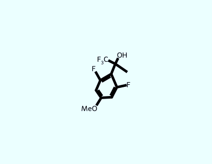 COc1cc(F)c(C(C)(O)C(F)(F)F)c(F)c1